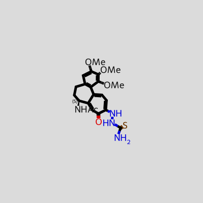 COc1cc2c(c(OC)c1OC)-c1ccc(NNC(N)=S)c(=O)cc1[C@@H](NC(C)=O)CC2